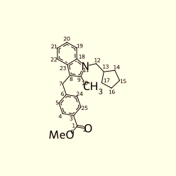 COC(=O)c1ccc(Cc2c(C)n(CC3CCCC3)c3ccccc23)cc1